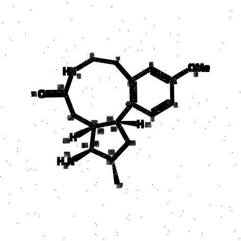 COc1ccc2c(c1)CCNC(=O)C[C@H]1[C@H](N)[C@@H](C)C[C@H]21